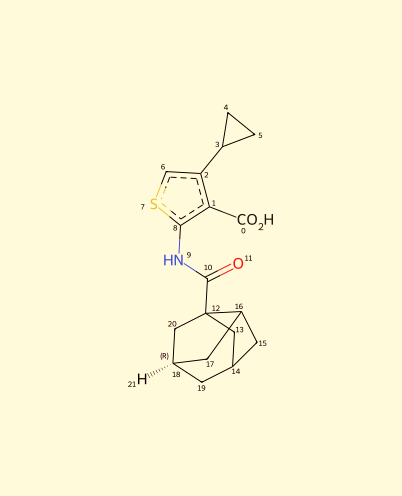 O=C(O)c1c(C2CC2)csc1NC(=O)C12CC3CC1C[C@@H](C3)C2